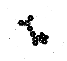 C1=CC2C(Oc3ccccc3C23c2ccccc2-c2ccccc23)c2c1c(-c1ccc(-c3ccc(C4N=C(c5ccccc5)N=C(c5ccccc5)N4)cc3)cc1)nc1ccccc21